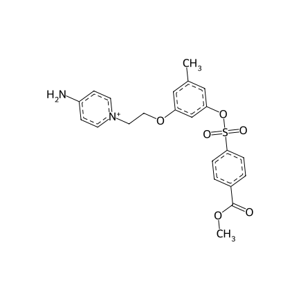 COC(=O)c1ccc(S(=O)(=O)Oc2cc(C)cc(OCC[n+]3ccc(N)cc3)c2)cc1